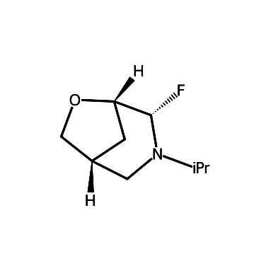 CC(C)N1C[C@@H]2CO[C@@H](C2)[C@@H]1F